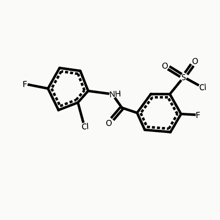 O=C(Nc1ccc(F)cc1Cl)c1ccc(F)c(S(=O)(=O)Cl)c1